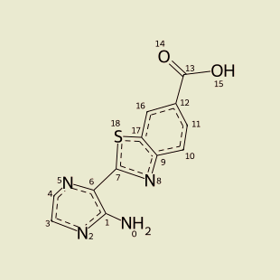 Nc1nccnc1-c1nc2ccc(C(=O)O)cc2s1